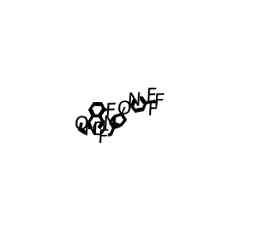 O=C(c1c(F)cccc1-c1ncco1)N1C(CF)C2CC1[C@@H](Oc1ccc(C(F)(F)F)cn1)C2